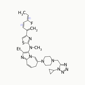 C=C(/C=C\C(F)=C/C)c1csc(N(C)c2c(CC)nc3n2C=C(N2CCN(Cc4nnnn4C4CC4)CC2)CC=C3)n1